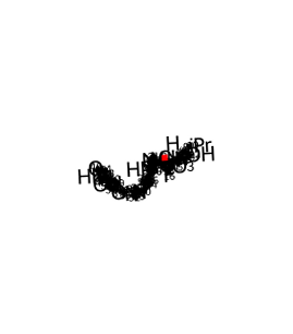 Cc1c(NC(=O)N2C[C@H](CC(C)C)[C@@H](O)C2)cc(F)cc1-c1ncnc2[nH]c(-c3ccc(CN4CCN(CCOc5ccc(N6CCC(=O)NC6O)cc5)CC4)cc3)cc12